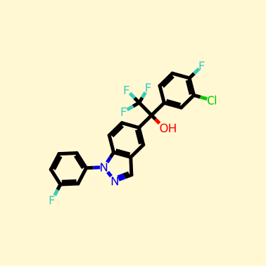 OC(c1ccc(F)c(Cl)c1)(c1ccc2c(cnn2-c2cccc(F)c2)c1)C(F)(F)F